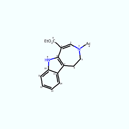 CCOC(=O)C1=CN(C(C)=O)CCc2c1[nH]c1ccccc21